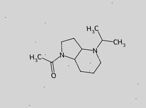 CC(=O)N1CCC2C1CCCN2C(C)C